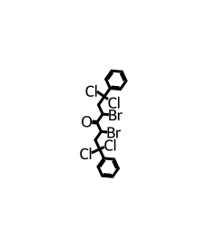 O=C(C(Br)CC(Cl)(Cl)c1ccccc1)C(Br)CC(Cl)(Cl)c1ccccc1